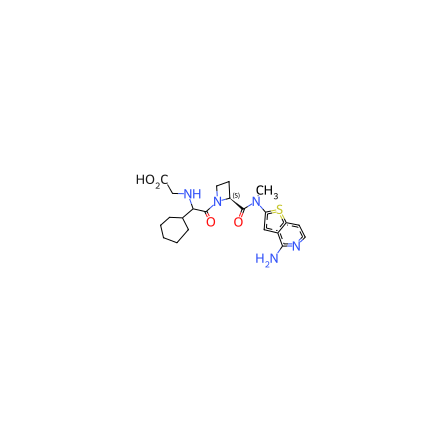 CN(C(=O)[C@@H]1CCN1C(=O)C(NCC(=O)O)C1CCCCC1)c1cc2c(N)nccc2s1